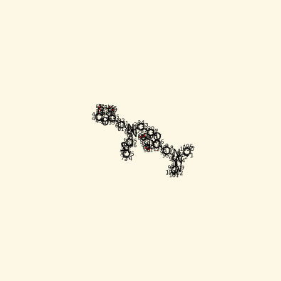 c1ccc(-c2nc(-c3ccc(-c4ccc5c(c4)Oc4ccc(-c6cccc(-c7nc(-c8ccc(-c9ccc%10c(c9)Oc9ccccc9C%109c%10ccccc%10-c%10ccccc%109)cc8)cc(-c8ccc9c(c8)sc8ccccc89)n7)c6)cc4C54c5ccccc5-c5ccccc54)cc3)cc(-c3ccccn3)n2)cc1